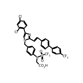 O=C(O)CN(c1ccc(Cn2cc(-c3ccc(Cl)cc3Cl)nc2C=Cc2ccc(-c3ccc(C(F)(F)F)cc3)cc2)cc1)S(=O)(=O)C(F)(F)F